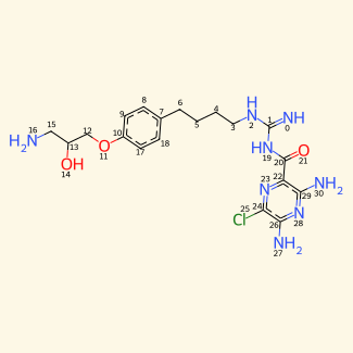 N=C(NCCCCc1ccc(OCC(O)CN)cc1)NC(=O)c1nc(Cl)c(N)nc1N